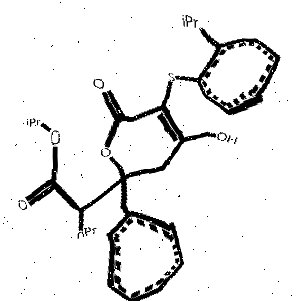 CCCC(C(=O)OC(C)C)C1(c2ccccc2)CC(O)=C(Sc2ccccc2C(C)C)C(=O)O1